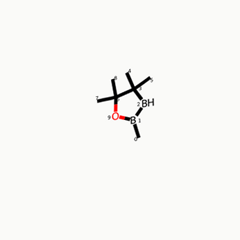 CB1BC(C)(C)C(C)(C)O1